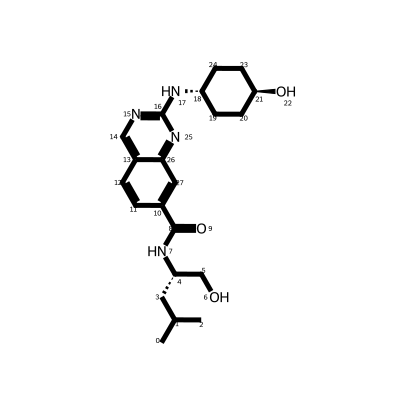 CC(C)C[C@@H](CO)NC(=O)c1ccc2cnc(N[C@H]3CC[C@H](O)CC3)nc2c1